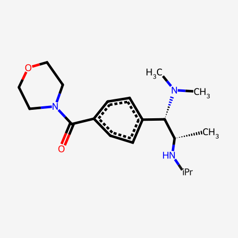 CC(C)N[C@@H](C)[C@H](c1ccc(C(=O)N2CCOCC2)cc1)N(C)C